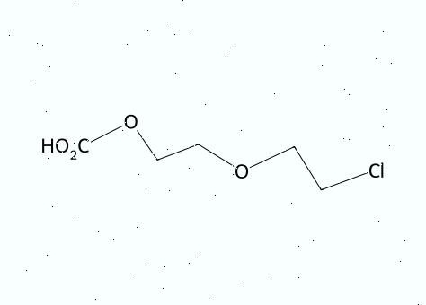 O=C(O)OCCOCCCl